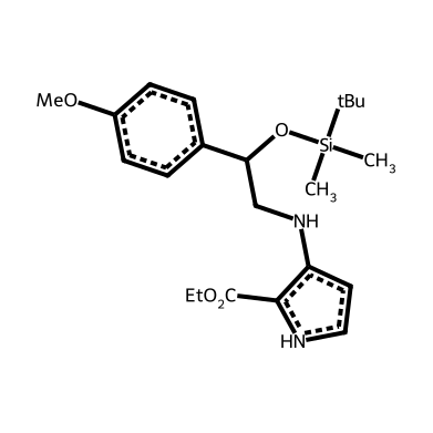 CCOC(=O)c1[nH]ccc1NCC(O[Si](C)(C)C(C)(C)C)c1ccc(OC)cc1